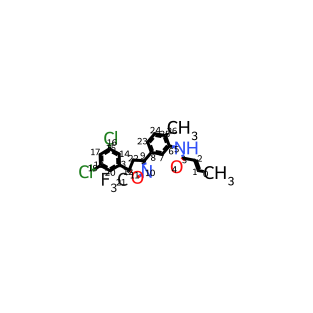 C/C=C/C(=O)Nc1cc(C2=NOC(c3cc(Cl)cc(Cl)c3)(C(F)(F)F)C2)ccc1C